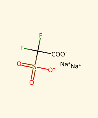 O=C([O-])C(F)(F)S(=O)(=O)[O-].[Na+].[Na+]